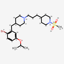 CC(C)Oc1ccc(Br)c(CC2CCN(CCCC3CCN(S(C)(=O)=O)CC3)CC2)c1